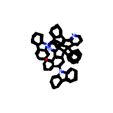 c1ccc(C2(C3(c4ccccc4)c4cccnc4-c4c3cc(-n3c5ccccc5c5ccccc53)c3ccccc43)c3cccnc3-c3c2cc(-n2c4ccccc4c4ccccc42)c2ccccc32)cc1